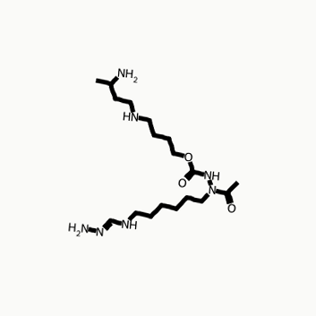 CC(=O)N(CCCCCCNC=NN)NC(=O)OCCCCNCCC(C)N